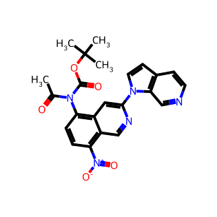 CC(=O)N(C(=O)OC(C)(C)C)c1ccc([N+](=O)[O-])c2cnc(-n3ccc4ccncc43)cc12